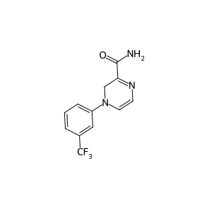 NC(=O)C1=NC=CN(c2cccc(C(F)(F)F)c2)C1